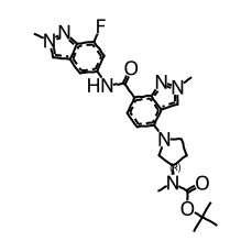 CN(C(=O)OC(C)(C)C)[C@@H]1CCN(c2ccc(C(=O)Nc3cc(F)c4nn(C)cc4c3)c3nn(C)cc23)C1